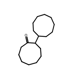 O=C1CCCCCCCC1C1CCCCCCCC1